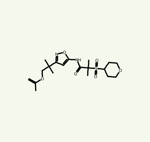 C=C(C)OCC(C)(C)c1cc(NC(=O)C(C)(C)S(=O)(=O)C2CCOCC2)on1